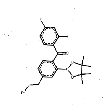 CCSCc1ccc(C(=O)c2ccc(F)cc2F)c(B2OC(C)(C)C(C)(C)O2)c1